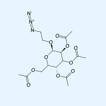 CC(=O)OCC1O[C@@H](OCCN=[N+]=[N-])[C@@H](OC(C)=O)C(OC(C)=O)[C@@H]1OC(C)=O